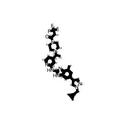 Cc1cc(C2C=NN(CC3CC3)C2)cc2[nH]c(Nc3cc(C(C)N4CCN(C(=O)CC(F)(F)F)CC4)ccn3)nc12